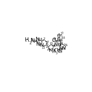 Cc1ncc(-c2ccc3nc(N)nn3c2)cc1NC(=O)N1OCCC1c1cnn(C)c1